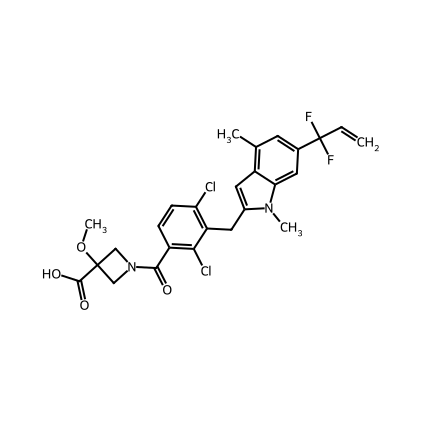 C=CC(F)(F)c1cc(C)c2cc(Cc3c(Cl)ccc(C(=O)N4CC(OC)(C(=O)O)C4)c3Cl)n(C)c2c1